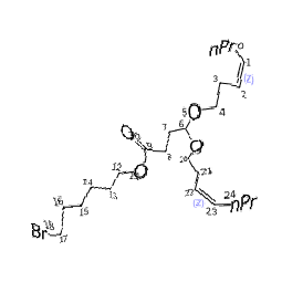 CCC/C=C\CCOC(CCC(=O)OCCCCCCBr)OCC/C=C\CCC